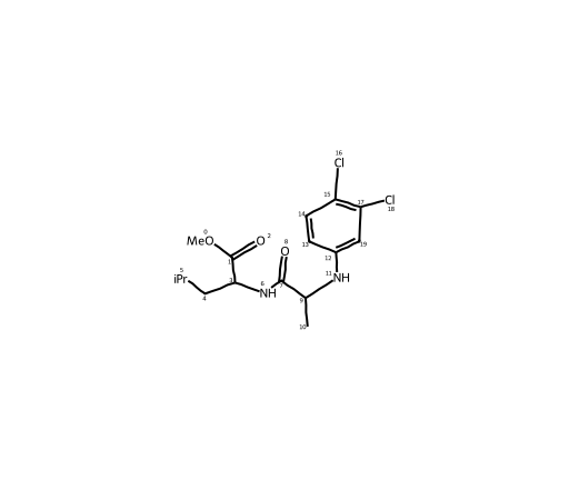 COC(=O)C(CC(C)C)NC(=O)C(C)Nc1ccc(Cl)c(Cl)c1